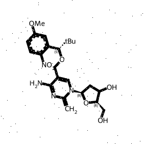 C=C1N=C(N)C(CO[C@H](c2cc(OC)ccc2[N+](=O)[O-])C(C)(C)C)=CN1[C@H]1CC(O)[C@@H](CO)O1